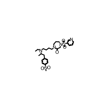 CCN(CCCCN1CCCN(S(=O)(=O)c2cccnc2)CC1=O)C(C)Cc1ccc(S(C)(=O)=O)cc1